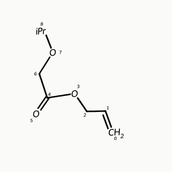 C=CCOC(=O)COC(C)C